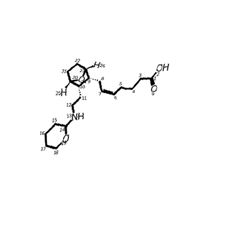 O=C(O)CCC/C=C\C[C@@H]1[C@H](CCNC2CCCCO2)[C@@H]2CC[C@H]1O2